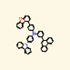 c1cc(-c2cc3ccccc3c3ccccc23)cc(N(c2ccc(-c3cccc4oc5ccccc5c34)cc2)c2ccc(-n3c4ccccc4c4ccccc43)cc2)c1